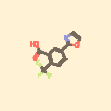 O=C(O)c1cc(-c2ncco2)[c]cc1C(F)(F)F